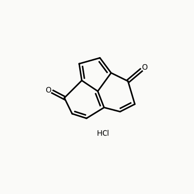 Cl.O=C1C=CC2=C3C1=CC=C3C(=O)C=C2